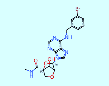 CNC(=O)[C@@]12COC(C1O)[C@H](n1cnc3c(NCc4cccc(Br)c4)ncnc31)O2